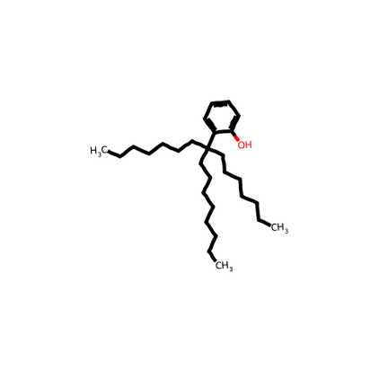 CCCCCCCCC(CCCCCCC)(CCCCCCC)c1ccccc1O